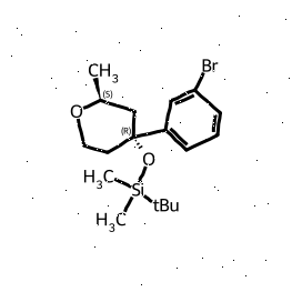 C[C@H]1C[C@@](O[Si](C)(C)C(C)(C)C)(c2cccc(Br)c2)CCO1